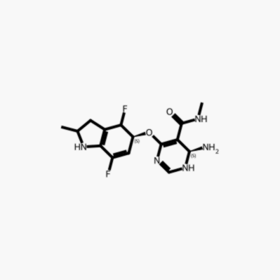 CNC(=O)C1=C(O[C@H]2C=C(F)C3=C(CC(C)N3)C2F)N=CN[C@@H]1N